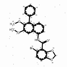 COc1cc2c(NC(=O)c3c(Br)ccc4c3OCO4)cccc2c(-c2ccccc2)c1OC